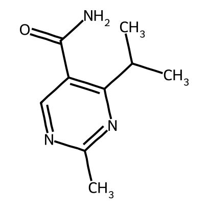 Cc1ncc(C(N)=O)c(C(C)C)n1